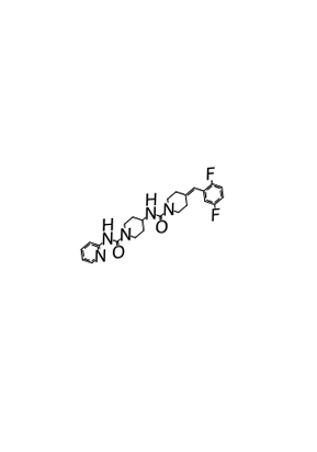 O=C(Nc1ccccn1)N1CCC(NC(=O)N2CCC(=Cc3cc(F)ccc3F)CC2)CC1